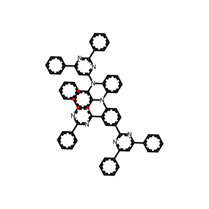 c1ccc(-c2cc(-c3ccccc3)nc(-c3ccc(N4c5ccccc5N(c5cc(-c6ccccc6)nc(-c6ccccc6)n5)c5ccccc54)c(-c4nc(-c5ccccc5)nc(-c5ccccc5)n4)c3)n2)cc1